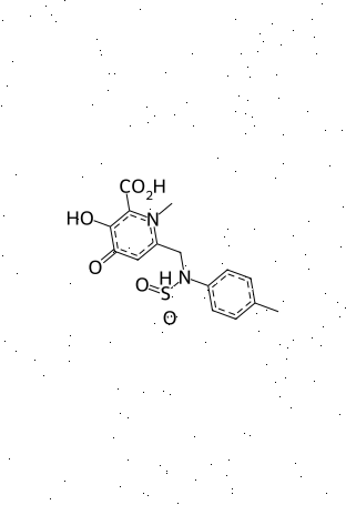 Cc1ccc(N(Cc2cc(=O)c(O)c(C(=O)O)n2C)[SH](=O)=O)cc1